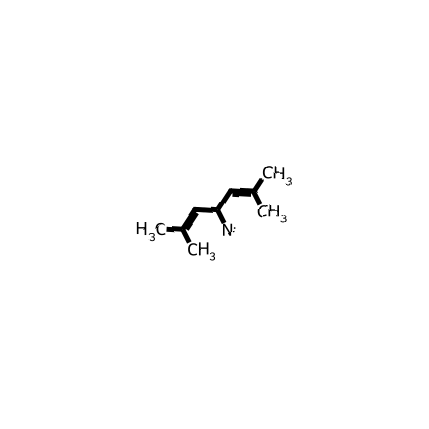 CC(C)=CC([N])C=C(C)C